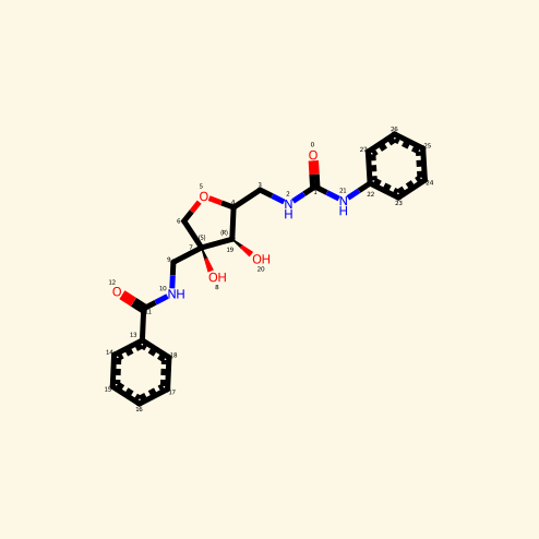 O=C(NCC1OC[C@@](O)(CNC(=O)c2ccccc2)[C@@H]1O)Nc1ccccc1